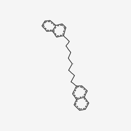 [CH](CCCCc1ccc2ccccc2c1)CCCc1ccc2ccccc2c1